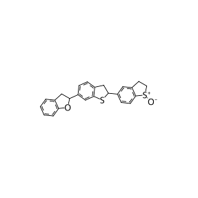 [O-][S+]1CCc2cc(C3Cc4ccc(C5Cc6ccccc6O5)cc4S3)ccc21